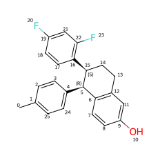 Cc1ccc([C@@H]2c3ccc(O)cc3CC[C@@H]2c2ccc(F)cc2F)cc1